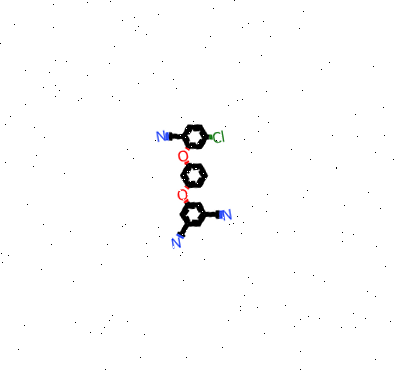 N#Cc1cc(C#N)cc(Oc2cccc(Oc3cc(Cl)ccc3C#N)c2)c1